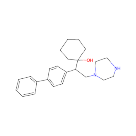 OC1(C(CN2CCNCC2)c2ccc(-c3ccccc3)cc2)CCCCC1